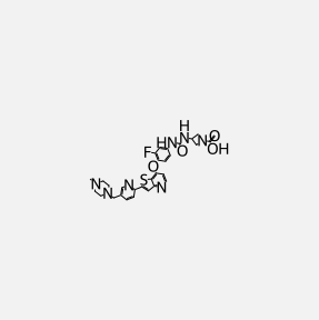 CN1CCN(Cc2ccc(-c3cc4nccc(Oc5ccc(NC(=O)NC6CN(C(=O)O)C6)cc5F)c4s3)nc2)CC1